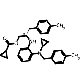 Cc1ccc(C[C@@H](COC(=O)C2CC2)Nc2ccccc2N(Cc2ccc(C)cc2)C2CC2)cc1